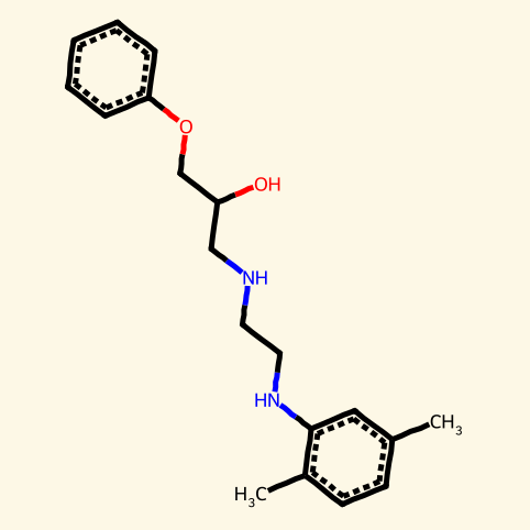 Cc1ccc(C)c(NCCNCC(O)COc2ccccc2)c1